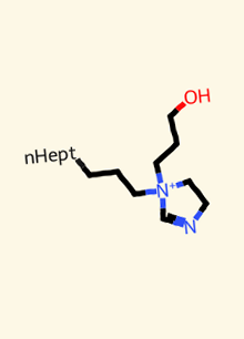 CCCCCCCCCC[N+]1(CCCO)C=NCC1